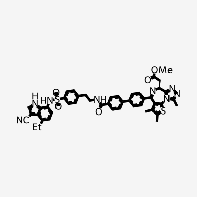 CCc1ccc(NS(=O)(=O)c2ccc(CCNC(=O)c3ccc(-c4ccc(C5=N[C@@H](CC(=O)OC)c6nnc(C)n6-c6sc(C)c(C)c65)cc4)cc3)cc2)c2[nH]cc(C#N)c12